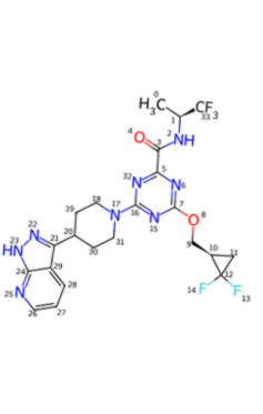 C[C@H](NC(=O)c1nc(OC[C@H]2CC2(F)F)nc(N2CCC(c3n[nH]c4ncccc34)CC2)n1)C(F)(F)F